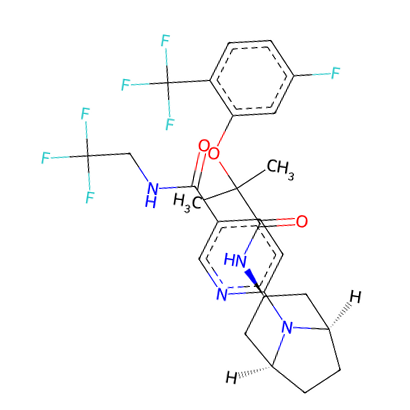 CC(C)(Oc1cc(F)ccc1C(F)(F)F)C(=O)N[C@H]1C[C@H]2CC[C@@H](C1)N2c1ccc(C(=O)NCC(F)(F)F)cn1